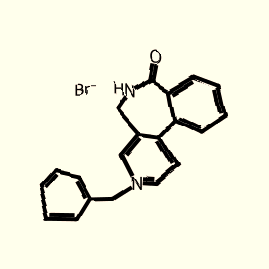 O=C1NCc2c[n+](Cc3ccccc3)ccc2-c2ccccc21.[Br-]